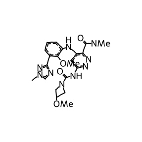 CNC(=O)c1nnc(NC(=O)N2CC(OC)C2)cc1Nc1cccc(-c2ncn(C)n2)c1OC